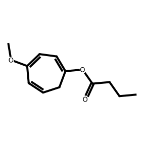 CCCC(=O)OC1=CC=C(OC)C=CC1